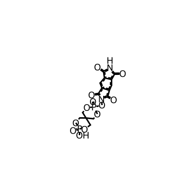 O=c1[nH]c(=O)c2cc3c(=O)n(OP4(=O)OCC5(COP(=O)(O)OC5)CO4)c(=O)c3cc12